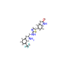 N[C@H](CNc1ncc(-c2ccc3c(c2)CC(=O)N3)s1)Cc1cccc(C(F)(F)F)c1